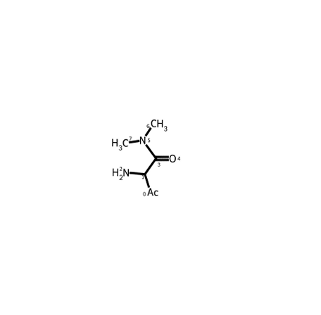 CC(=O)C(N)C(=O)N(C)C